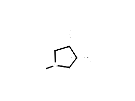 CC(C)N1C[C@@H](O)[C@@H](N)C1